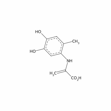 C=C(Nc1cc(O)c(O)cc1C)C(=O)O